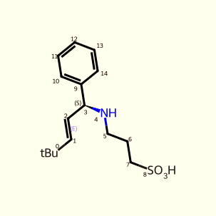 CC(C)(C)/C=C/[C@H](NCCCS(=O)(=O)O)c1ccccc1